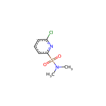 CN(C)S(=O)(=O)c1cc[c]c(Cl)n1